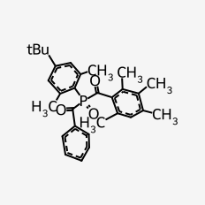 Cc1cc(C)c(C(=O)P(=O)(C(=O)c2ccccc2)c2c(C)cc(C(C)(C)C)cc2C)c(C)c1C